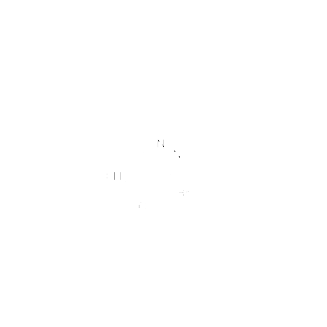 Cc1ccccc1-c1nn(-c2ccccc2)c(Br)c1C=O